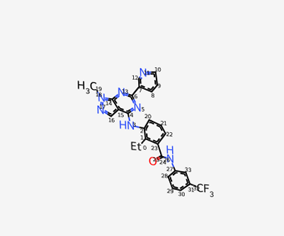 CCc1c(Nc2nc(-c3cccnc3)nc3c2cnn3C)cccc1C(=O)Nc1cccc(C(F)(F)F)c1